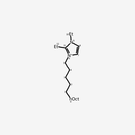 CCCCCCCCCCCCC[n+]1ccn(CC)c1CC